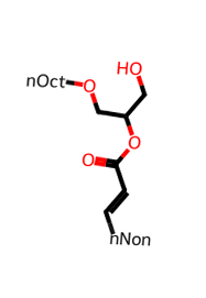 CCCCCCCCC/C=C/C(=O)OC(CO)COCCCCCCCC